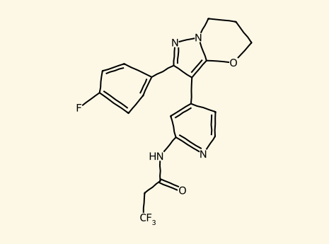 O=C(CC(F)(F)F)Nc1cc(-c2c(-c3ccc(F)cc3)nn3c2OCCC3)ccn1